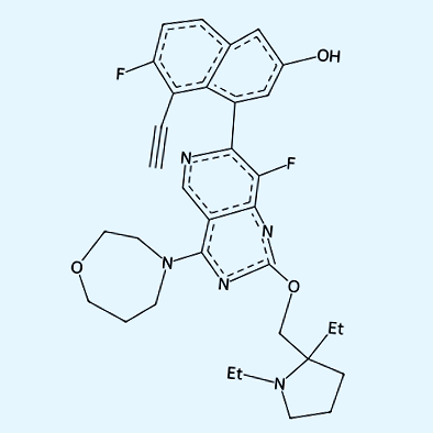 C#Cc1c(F)ccc2cc(O)cc(-c3ncc4c(N5CCCOCC5)nc(OCC5(CC)CCCN5CC)nc4c3F)c12